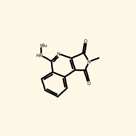 CN1C(=O)c2nc(NC(C)(C)C)c3ccccc3c2C1=O